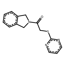 O=C(CSc1ncccn1)N1Cc2ccccc2C1